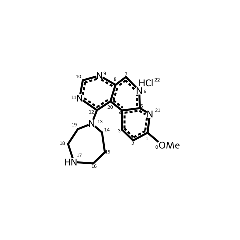 COc1ccc2c(ncc3ncnc(N4CCCNCC4)c32)n1.Cl